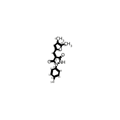 Cc1cc(C=C2C(=O)NN(c3ccc(I)cc3)C2=O)oc1C